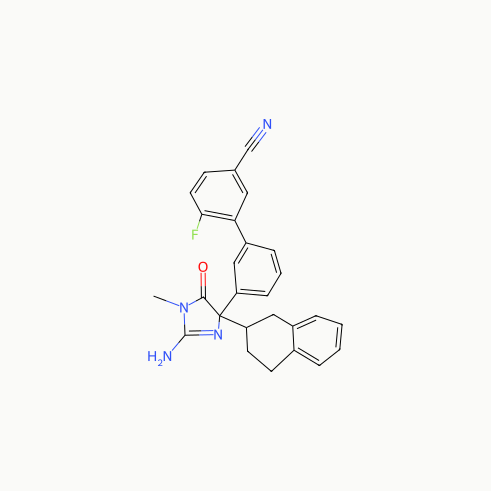 CN1C(=O)C(c2cccc(-c3cc(C#N)ccc3F)c2)(C2CCc3ccccc3C2)N=C1N